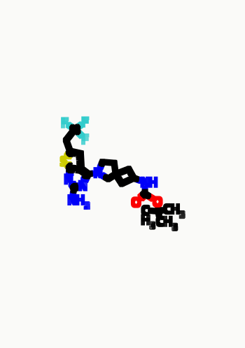 CC(C)(C)OC(=O)NC1CC2(CCN(c3nc(N)nc4sc(CC(F)(F)F)cc34)C2)C1